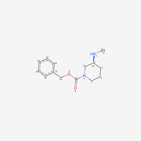 CCN[C@H]1CCCN(C(=O)OCc2ccccc2)C1